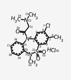 Cc1cc2c(cc1Cl)N(C(=O)CN(C)C)c1ccccc1N(C)S2(=O)=O.Cl